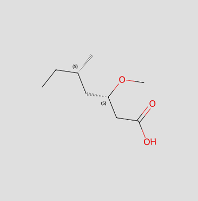 CC[C@H](C)C[C@@H](CC(=O)O)OC